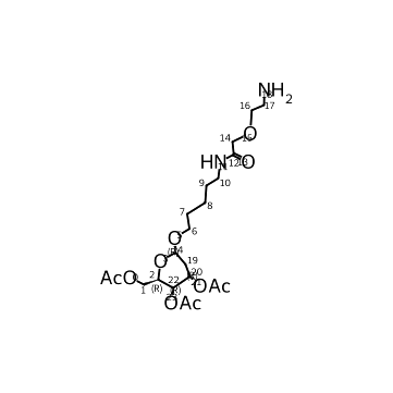 CC(=O)OC[C@H]1O[C@@H](OCCCCCNC(=O)COCCN)C[C@@H](OC(C)=O)[C@H]1OC(C)=O